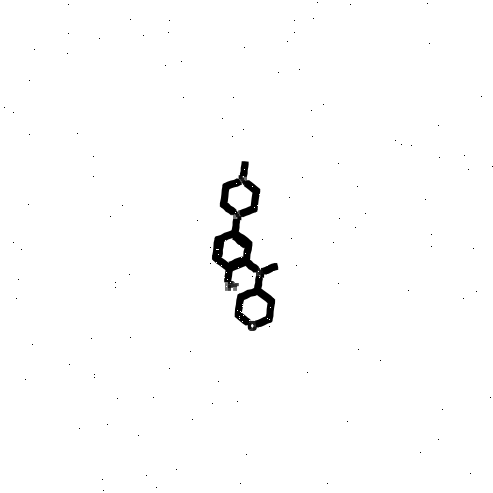 CC(C)c1ccc(N2CCN(C)CC2)cc1N(C)C1CCOCC1